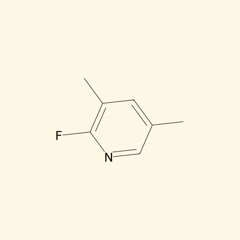 Cc1cnc(F)c(C)c1